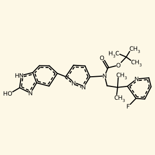 CC(C)(C)OC(=O)N(CC(C)(C)c1ncccc1F)c1ccc(-c2ccc3[nH]c(O)nc3c2)nn1